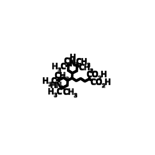 CC1(C)CC(C(CCCC(C(=O)O)C(=O)O)C2CC(C)(C)NC(C)(C)C2)CC(C)(C)N1